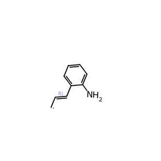 [CH2]/C=C/c1ccccc1N